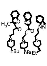 CCC=C1CCN(CCCn2ncc3ccccc32)CC1.CCCCC1CCN(CCCC(=O)c2cc3ccccc3s2)CC1.CCCCC1CCN(CCCC(=O)c2oc3ccccc3c2C)CC1